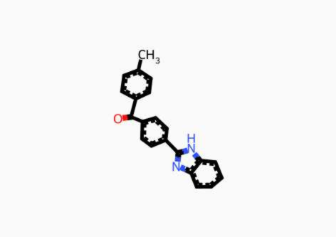 Cc1ccc(C(=O)c2ccc(-c3nc4ccccc4[nH]3)cc2)cc1